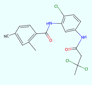 Cc1cc(C#N)ccc1C(=O)Nc1cc(NC(=O)CC(C)(Cl)Cl)ccc1Cl